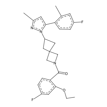 CCOc1cc(F)ccc1C(=O)N1CC2(CC(n3nc(C)cc3-c3ccc(F)cc3C)C2)C1